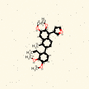 C=Cc1c(-c2ccc3c(-c4ccoc4)c(OC)c(OC)cc3c2C)ccc(OC)c1OC